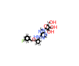 OC[C@H]1O[C@@H](n2cnc3c(N[C@H]4CCC[C@@H]4OCc4cccc(F)c4)ncnc32)[C@H](O)[C@@H]1O